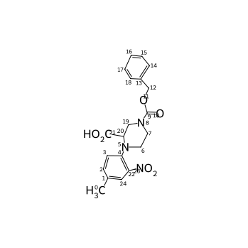 Cc1ccc(N2CCN(C(=O)OCc3ccccc3)CC2C(=O)O)c([N+](=O)[O-])c1